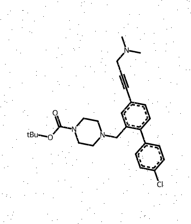 CN(C)CC#Cc1ccc(-c2ccc(Cl)cc2)c(CN2CCN(C(=O)OC(C)(C)C)CC2)c1